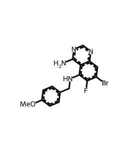 COc1ccc(CNc2c(F)c(Br)cc3ncnc(N)c23)cc1